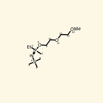 CCP(C)(=N[Si](C)(C)C)OCCOCCOC